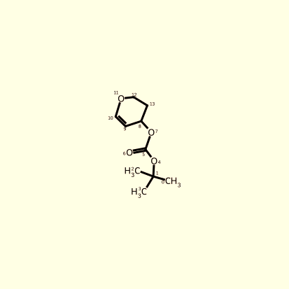 CC(C)(C)OC(=O)OC1C=COCC1